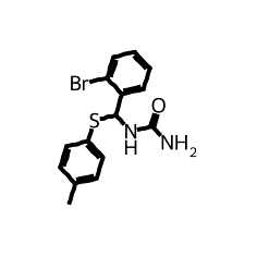 Cc1ccc(SC(NC(N)=O)c2ccccc2Br)cc1